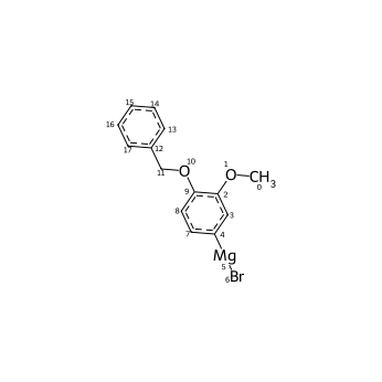 COc1c[c]([Mg][Br])ccc1OCc1ccccc1